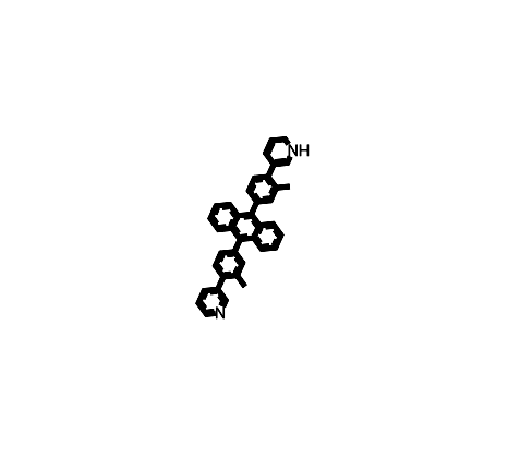 Cc1cc(-c2c3ccccc3c(-c3ccc(-c4cccnc4)c(C)c3)c3ccccc23)ccc1C1=CNCC=C1